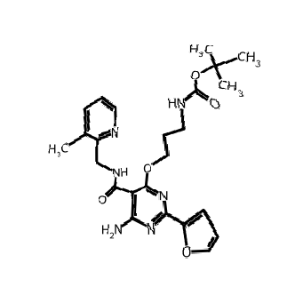 Cc1cccnc1CNC(=O)c1c(N)nc(-c2ccco2)nc1OCCCNC(=O)OC(C)(C)C